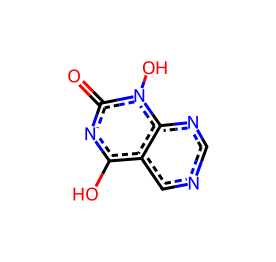 O=c1nc(O)c2cncnc2n1O